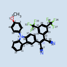 COc1ccc(-n2c3ccccc3c3cc(/C(C#N)=C(/C#N)c4cc(C(F)(F)F)cc(C(F)(F)F)c4)ccc32)cc1